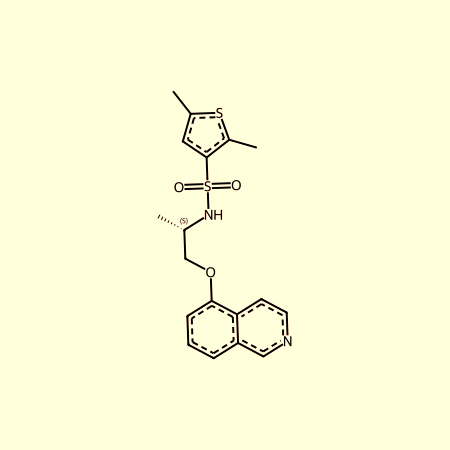 Cc1cc(S(=O)(=O)N[C@@H](C)COc2cccc3cnccc23)c(C)s1